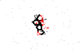 C[C@@H]1COC2CC34C5C[C@@H](C(C)(C)C)C36CCO[C@H]6OC4(C(=O)O5)[C@]21O